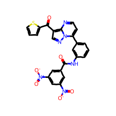 O=C(Nc1cccc(-c2ccnc3c(C(=O)c4cccs4)cnn23)c1)c1cc([N+](=O)[O-])cc([N+](=O)[O-])c1